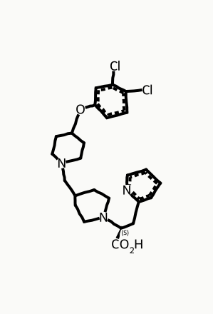 O=C(O)[C@H](Cc1ccccn1)N1CCC(CN2CCC(Oc3ccc(Cl)c(Cl)c3)CC2)CC1